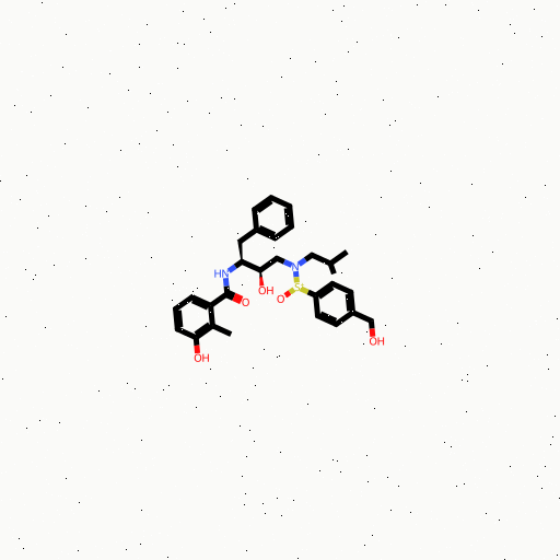 Cc1c(O)cccc1C(=O)N[C@@H](Cc1ccccc1)[C@H](O)CN(CC(C)C)[S+]([O-])c1ccc(CO)cc1